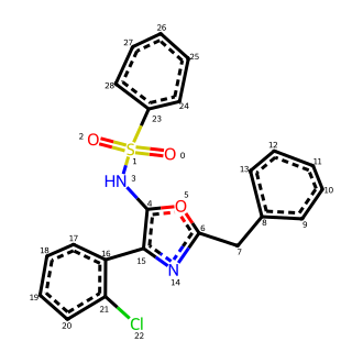 O=S(=O)(Nc1oc(Cc2ccccc2)nc1-c1ccccc1Cl)c1ccccc1